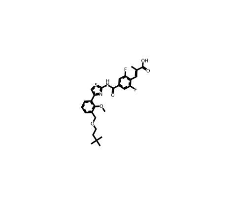 COc1c(COCCC(C)(C)C)cccc1-c1csc(NC(=O)c2cc(F)c(C=C(C)C(=O)O)c(F)c2)n1